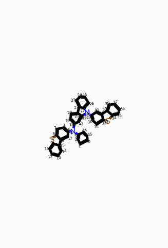 c1ccc(N(c2ccc3sc4ccccc4c3c2)c2ccc3c4ccccc4n(-c4ccc5sc6ccccc6c5c4)c3c2)cc1